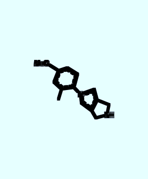 COc1ccc(-n2cc3c(c2)CNC3)c(C)c1